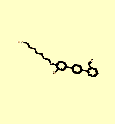 CCCCCCCCOc1ccc(-c2ccc(-c3ccccc3C=O)cc2)cc1Cl